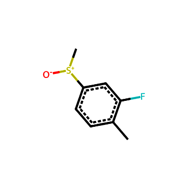 Cc1ccc([S+](C)[O-])cc1F